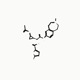 CC(=O)NC1CC1[C@@H](NC(=O)c1ccc(Cl)s1)C(=O)Nc1ccc2c(c1)CCN(C)CC2